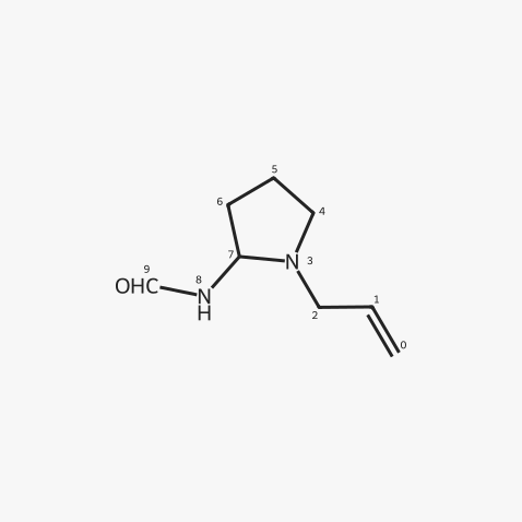 C=CCN1CCCC1NC=O